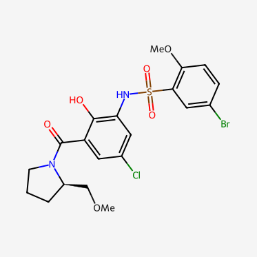 COC[C@H]1CCCN1C(=O)c1cc(Cl)cc(NS(=O)(=O)c2cc(Br)ccc2OC)c1O